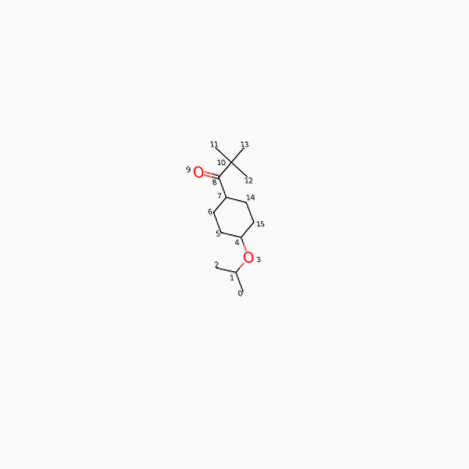 CC(C)OC1CCC(C(=O)C(C)(C)C)CC1